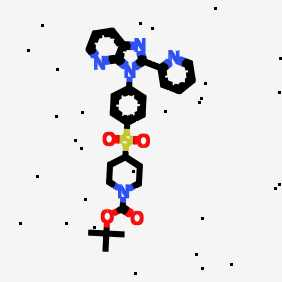 CC(C)(C)OC(=O)N1CCC(S(=O)(=O)c2ccc(-n3c(-c4ccccn4)nc4cccnc43)cc2)CC1